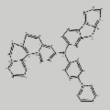 c1ccc(-c2ccc(N(c3ccc4c(ccc5ccc6ccccc6c54)c3)c3ccc4c(c3)sc3ncccc34)cc2)cc1